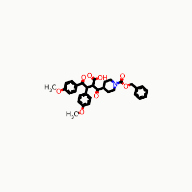 COc1ccc(C(=O)C(c2ccc(OC)cc2)C(C(=O)O)C(=O)C2CCN(C(=O)OCc3ccccc3)CC2)cc1